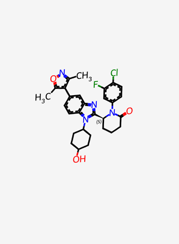 Cc1noc(C)c1-c1ccc2c(c1)nc([C@@H]1CCCC(=O)N1c1ccc(Cl)c(F)c1)n2C1CCC(O)CC1